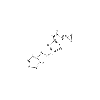 c1ccc(CSc2ccc3c(cnn3C3CC3)c2)cc1